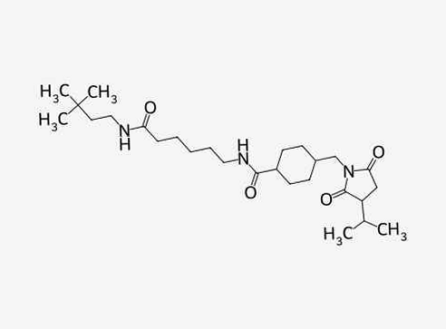 CC(C)C1CC(=O)N(CC2CCC(C(=O)NCCCCCC(=O)NCCC(C)(C)C)CC2)C1=O